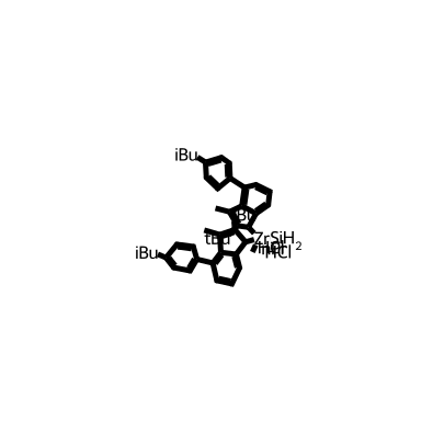 CC[CH2][Zr]([CH3])(=[SiH2])([CH]1C(C(C)(C)C)=C(C)c2c(-c3ccc(C(C)CC)cc3)cccc21)[CH]1C(C(C)(C)C)=C(C)c2c(-c3ccc(C(C)CC)cc3)cccc21.Cl.Cl